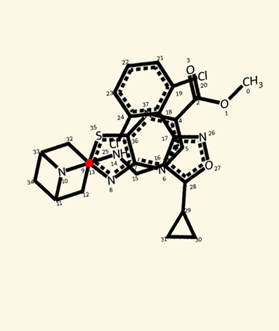 COC(=O)c1cnc2nc(N3C4CC(NCc5c(-c6c(Cl)cccc6Cl)noc5C5CC5)CC3C4)sc2n1